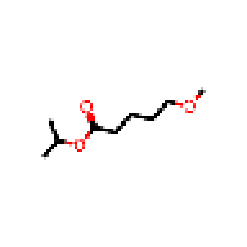 COCCCCC(=O)OC(C)C